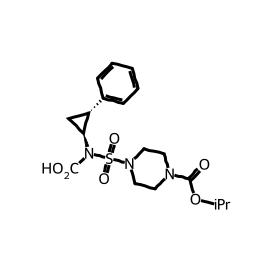 CC(C)OC(=O)N1CCN(S(=O)(=O)N(C(=O)O)[C@H]2C[C@@H]2c2ccccc2)CC1